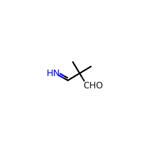 CC(C)(C=N)C=O